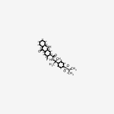 CN(C)S(=O)(=O)c1ccc(C(C)(C)NC(=O)c2cc3[nH]c4ccccc4c(=O)c3cc2F)cc1